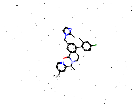 COc1ccnc([C@H](C)N2CCc3c(cc(Cn4ccnc4C)cc3-c3ccc(F)cc3C)C2=O)c1